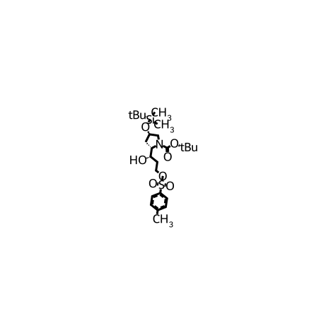 Cc1ccc(S(=O)(=O)OCC[C@H](O)[C@@H]2C[C@@H](O[Si](C)(C)C(C)(C)C)CN2C(=O)OC(C)(C)C)cc1